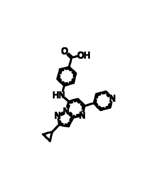 O=C(O)c1ccc(Nc2cc(-c3ccncc3)nc3cc(C4CC4)nn23)cc1